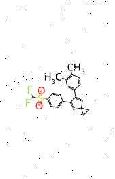 Cc1ccc(C2=CC3(C=C2c2ccc(S(=O)(=O)C(F)F)cc2)CC3)cc1C